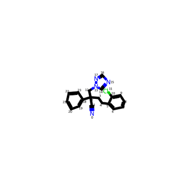 N#CC(CCc1ccccc1Cl)(Cn1cncn1)c1ccccc1